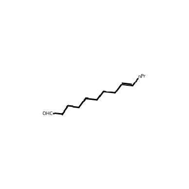 CCCC=CCCCCCCCC=O